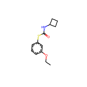 CCOc1cccc(SC(=O)NC2CCC2)c1